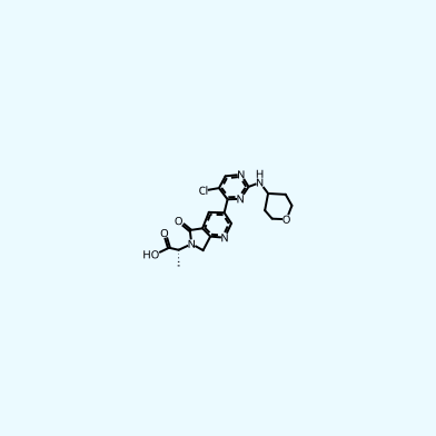 C[C@H](C(=O)O)N1Cc2ncc(-c3nc(NC4CCOCC4)ncc3Cl)cc2C1=O